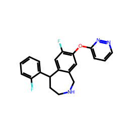 Fc1cc2c(cc1Oc1cccnn1)CNCCC2c1ccccc1F